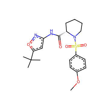 COc1ccc(S(=O)(=O)N2CCCC[C@H]2C(=O)Nc2cc(C(C)(C)C)on2)cc1